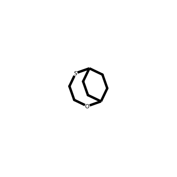 C1CSC2CCC(CC2)O1